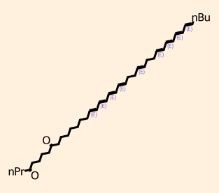 CCCC/C=C/C=C/C=C/C=C/CC/C=C/CC/C=C/C=C/C=C/C=C/CCCCCCCC(=O)CCCCC(=O)CCC